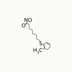 CC1=C(SCCCCCCCC(=O)N=O)C=CCC1